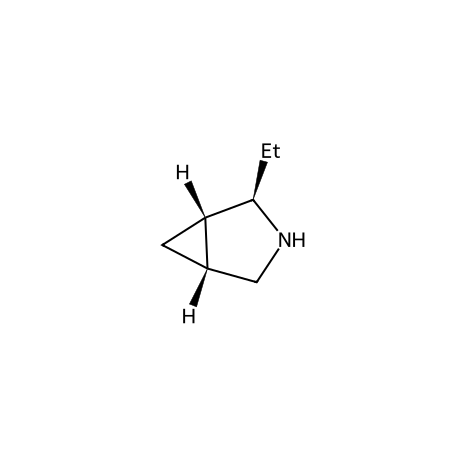 CC[C@H]1NC[C@@H]2C[C@@H]21